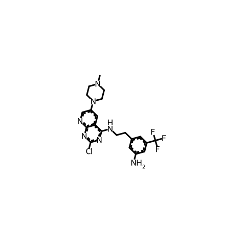 CN1CCN(c2cnc3nc(Cl)nc(NCCc4cc(N)cc(C(F)(F)F)c4)c3c2)CC1